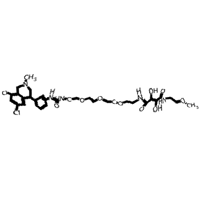 COCCNC(=O)C(O)C(O)C(=O)NCCOCCOCCOCCNC(=O)Nc1cccc(C2CN(C)Cc3c(Cl)cc(Cl)cc32)c1